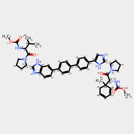 COC(=O)NC(C(=O)N1CCC[C@H]1c1nc2ccc(-c3ccc(-c4ccc(-c5cnc([C@@H]6CCCN6C(=O)[C@H](NC(=O)OC)C6(C)C=CC=CC6)[nH]5)cc4)cc3)cc2[nH]1)C(C)C